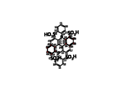 O=S(=O)(O)c1ccccc1P(c1ccccc1S(=O)(=O)O)c1ccc2ccccc2c1-c1c(P(c2ccccc2S(=O)(=O)O)c2ccccc2S(=O)(=O)O)ccc2ccccc12